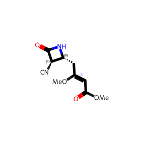 [C-]#[N+][C@H]1C(=O)N[C@@H]1C/C(=C/C(=O)OC)OC